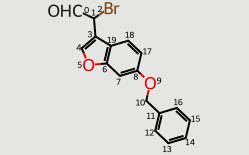 O=CC(Br)c1coc2cc(OCc3ccccc3)ccc12